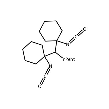 CCCCCC(C1(N=C=O)CCCCC1)C1(N=C=O)CCCCC1